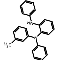 Cc1cccc(N(c2ccccc2)c2ccccc2Nc2ccccc2)c1